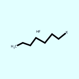 CCCCCC[CH2][K].F